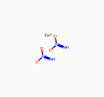 N=[N+]([O-])[O-].N=[N+]([O-])[O-].[Cu+2]